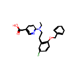 CCN(CCc1cc(Br)ccc1OCc1ccccc1)c1ccc(C(=O)O)cn1